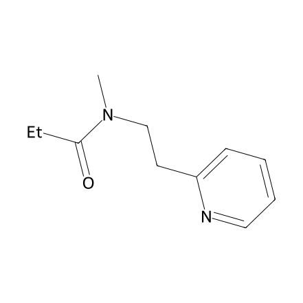 CCC(=O)N(C)CCc1ccccn1